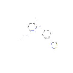 CCC(O)CNc1ccc([N+](=O)[O-])c(Nc2ccc(-c3csc(C(C)C)n3)cc2)n1